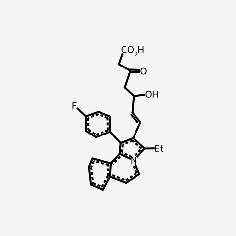 CCc1c(C=CC(O)CC(=O)CC(=O)O)c(-c2ccc(F)cc2)c2c3ccccc3ccn12